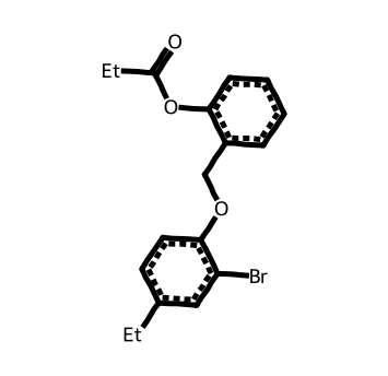 CCC(=O)Oc1ccccc1COc1ccc(CC)cc1Br